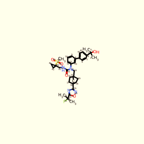 CC(C)(O)c1ccc(-c2cccc(N(CC34CCC(c5noc(C(C)(C)F)n5)(CC3)CC4)C(=O)NCC3(S(C)(=O)=O)CC3)c2)cc1